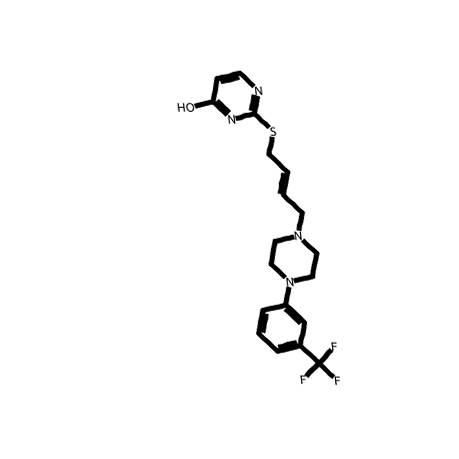 Oc1ccnc(SCC=CCN2CCN(c3cccc(C(F)(F)F)c3)CC2)n1